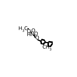 CCOC(=O)NC(=O)COCc1ccc(-c2ccccc2)c(C)c1